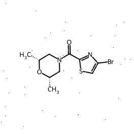 C[C@@H]1CN(C(=O)c2nc(Br)cs2)C[C@H](C)O1